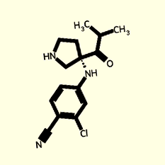 CC(C)C(=O)[C@]1(Nc2ccc(C#N)c(Cl)c2)CCNC1